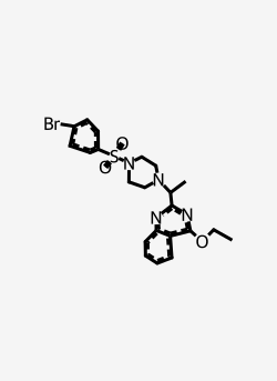 CCOc1nc(C(C)N2CCN(S(=O)(=O)c3ccc(Br)cc3)CC2)nc2ccccc12